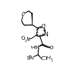 CC(NC(=O)c1noc(C2CCOCC2)c1[N+](=O)[O-])C(C)(C)C